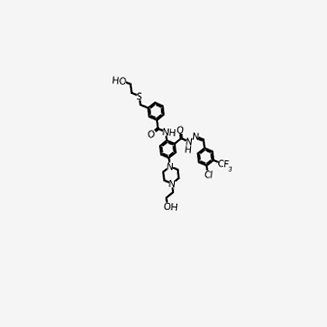 O=C(Nc1ccc(N2CCN(CCO)CC2)cc1C(=O)N/N=C\c1ccc(Cl)c(C(F)(F)F)c1)c1cccc(CSCCO)c1